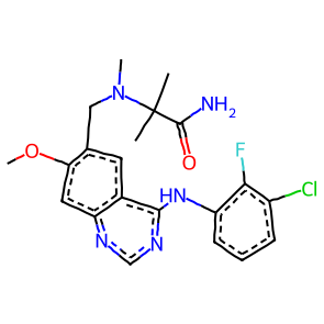 COc1cc2ncnc(Nc3cccc(Cl)c3F)c2cc1CN(C)C(C)(C)C(N)=O